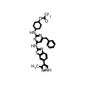 Cc1n[nH]cc1-c1ccc2nc(Nc3cc(Cc4ccccc4)nc(NC4CCC(OC(=O)C(F)(F)F)CC4)n3)sc2c1